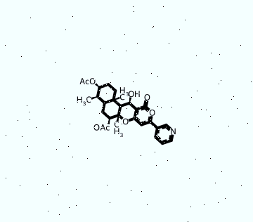 CC(=O)O[C@H]1CC[C@@]2(C)C(C[C@H](OC(C)=O)[C@@]3(C)Oc4cc(-c5cccnc5)oc(=O)c4[C@H](O)C23)[C@H]1C